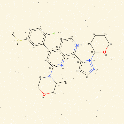 CSc1ccc(F)c(-c2cc(N3CCOCC3C)nc3c(-c4ccnn4C4CCCCO4)nccc23)c1